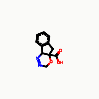 O=C(O)C12Cc3ccccc3C1N=NCO2